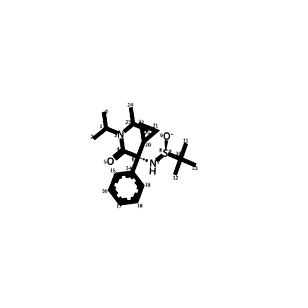 CC(C)N(C(=O)[C@](N[S@@+]([O-])C(C)(C)C)(c1ccccc1)C1CC1)C(C)C